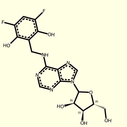 OC[C@H]1OC(n2cnc3c(NCc4c(O)c(F)cc(F)c4O)ncnc32)[C@H](O)[C@@H]1O